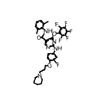 Cc1cccc(C)c1NC(=O)c1cnc(Nc2ccc(OCCCN3CCCCC3)c(F)c2)nc1Oc1c(F)c(F)c(F)c(F)c1F